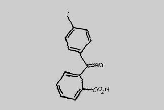 O=C(O)c1ccccc1C(=O)c1ccc(I)cc1